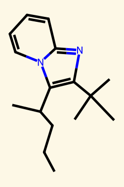 CCCC(C)c1c(C(C)(C)C)nc2ccccn12